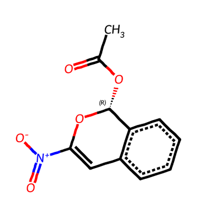 CC(=O)O[C@H]1OC([N+](=O)[O-])=Cc2ccccc21